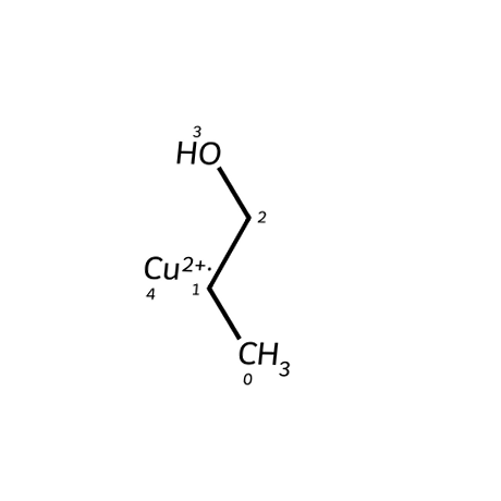 CCCO.[Cu+2]